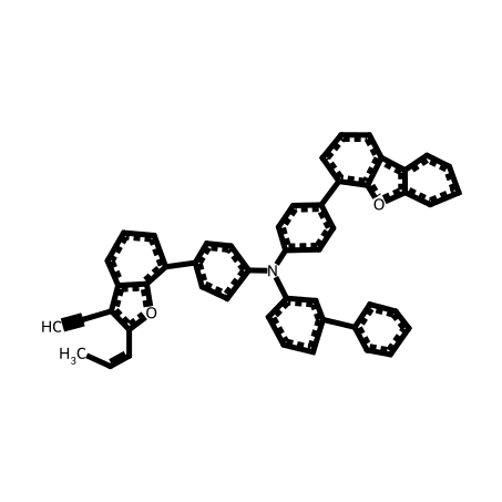 C#Cc1c(/C=C\C)oc2c(-c3ccc(N(c4ccc(-c5cccc6c5oc5ccccc56)cc4)c4cccc(-c5ccccc5)c4)cc3)cccc12